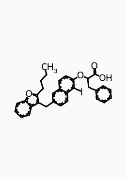 CCCCc1oc2ccccc2c1Cc1ccc2c(I)c(OC(Cc3ccccc3)C(=O)O)ccc2c1